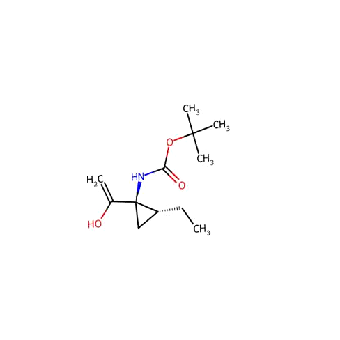 C=C(O)[C@@]1(NC(=O)OC(C)(C)C)C[C@H]1CC